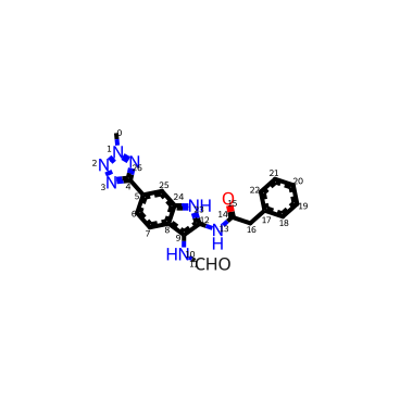 Cn1nnc(-c2ccc3c(NC=O)c(NC(=O)Cc4ccccc4)[nH]c3c2)n1